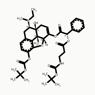 CCN(C)[C@@H]1Cc2ccc(OC(=O)OC(C)(C)C)c3c2[C@@]2(C)[C@@H](O3)C(OC(=O)[C@@H](OC(=O)CCNC(=O)OC(C)(C)C)c3ccccc3)=CC[C@@]12O